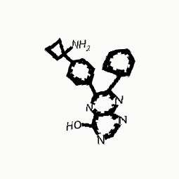 NC1(c2ccc(-c3nc4c(O)ncnc4nc3-c3ccccc3)cc2)CCC1